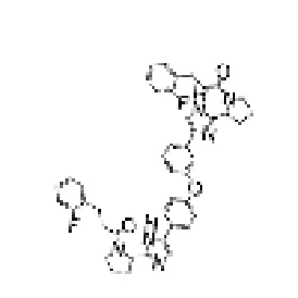 O=C(CCc1ccccc1F)N1CCC[C@H]1c1nc(-c2cccc(Oc3ccc(-c4cnc([C@@H]5CCCN5C(=O)CCc5ccccc5F)[nH]4)cc3)c2)c[nH]1